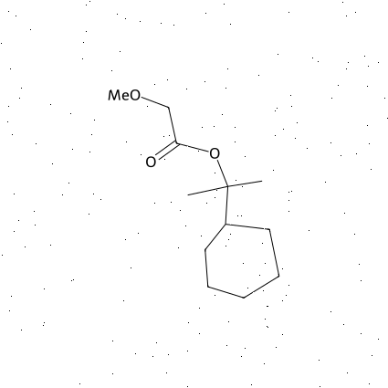 COCC(=O)OC(C)(C)C1CCCCC1